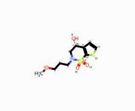 COCCCN1C[C@H](O)c2ccsc2S1(=O)=O